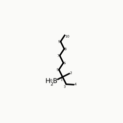 BC(C)(CC)CCCCCC